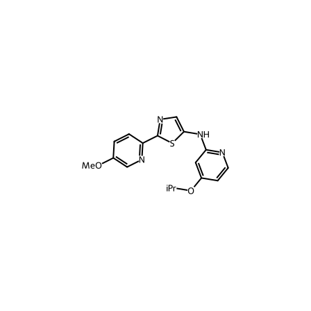 COc1ccc(-c2ncc(Nc3cc(OC(C)C)ccn3)s2)nc1